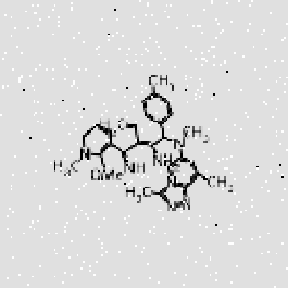 C=C/C(C(=N)C1=C(OC)N(C)CC=C1)=C(/N)C(c1ccc(C)cc1)N(C)c1cc(C)c2nnc(C)n2c1